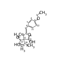 CCOc1ccc(C=CC(C)C(C(=O)O)(C(=O)O)C(C)C)cc1